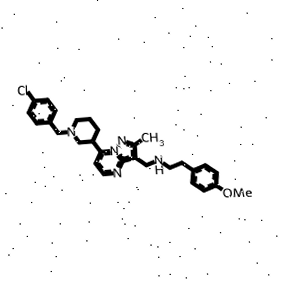 COc1ccc(CCNCc2c(C)nn3c(C4CCCN(Cc5ccc(Cl)cc5)C4)ccnc23)cc1